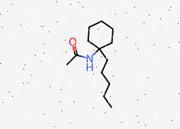 CCCCCC1(NC(C)=O)CCCCC1